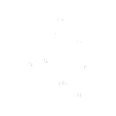 CNC(=O)C(=[N+]=[N-])C(=O)OC